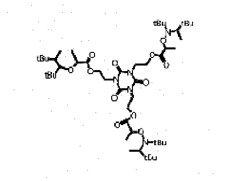 CC(OC(C(C)C(C)(C)C)C(C)(C)C)C(=O)OCCn1c(=O)n(CCOC(=O)C(C)ON(C(C)C(C)(C)C)C(C)(C)C)c(=O)n(CCOC(=O)C(C)ON(C(C)C(C)(C)C)C(C)(C)C)c1=O